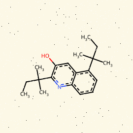 CCC(C)(C)c1nc2cccc(C(C)(C)CC)c2cc1O